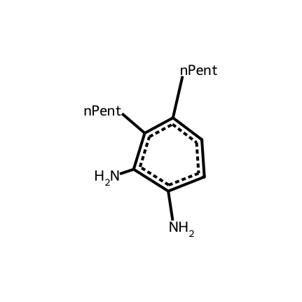 CCCCCc1ccc(N)c(N)c1CCCCC